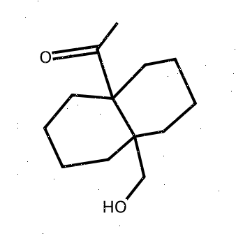 CC(=O)C12CCCCC1(CO)CCCC2